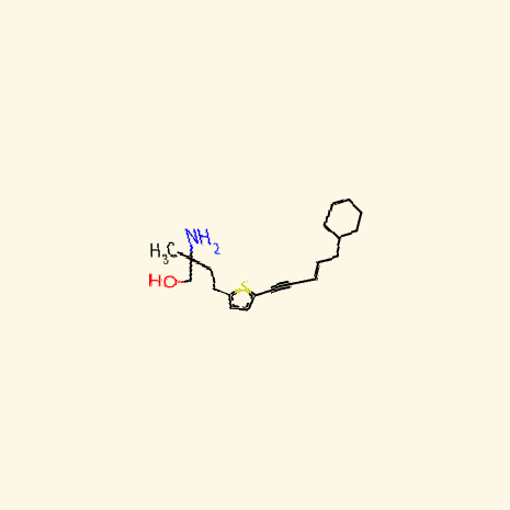 CC(N)(CO)CCc1ccc(C#CCCCC2CCCCC2)s1